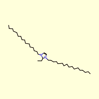 CCCCCCCCCCCCCCCCCN1C=CN(CCCCCCCCCCCCCCCC)C1CC